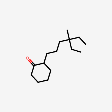 CCC(C)(CC)CCCC1CCCCC1=O